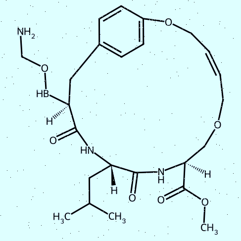 COC(=O)[C@@H]1COC/C=C\COc2ccc(cc2)C[C@H](BOCN)C(=O)N[C@@H](CC(C)C)C(=O)N1